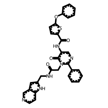 O=C(Cn1c(-c2ccccc2)ncc(NC(=O)c2ccc(Oc3ccccc3)s2)c1=O)NCc1cc2cnccc2[nH]1